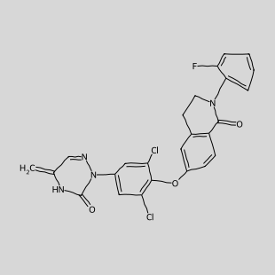 C=C1C=NN(c2cc(Cl)c(Oc3ccc4c(c3)CCN(c3ccccc3F)C4=O)c(Cl)c2)C(=O)N1